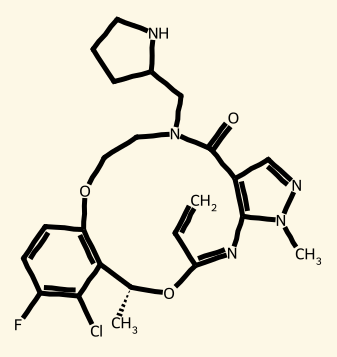 C=C/C1=N\c2c(cnn2C)C(=O)N(CC2CCCN2)CCOc2ccc(F)c(Cl)c2[C@@H](C)O1